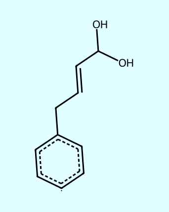 OC(O)C=CCc1cc[c]cc1